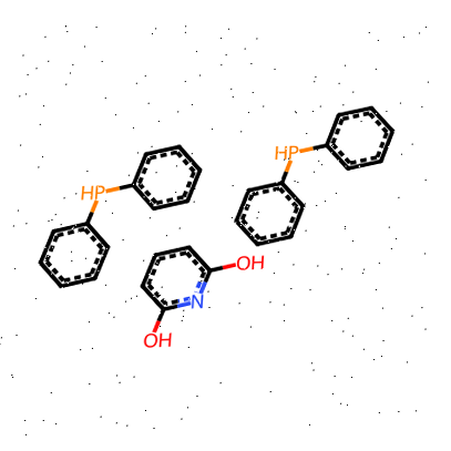 Oc1cccc(O)n1.c1ccc(Pc2ccccc2)cc1.c1ccc(Pc2ccccc2)cc1